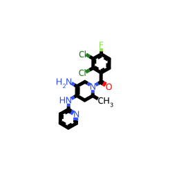 CC1CC(Nc2ccccn2)=C(N)CN1C(=O)c1ccc(F)c(Cl)c1Cl